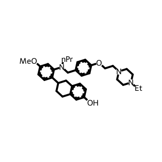 CCCN(Cc1ccc(OCCN2CCN(CC)CC2)cc1)c1cc(OC)ccc1C1CCc2cc(O)ccc2C1